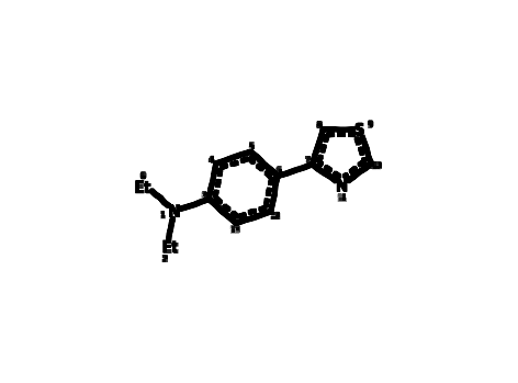 CCN(CC)c1ccc(-c2cs[c]n2)cc1